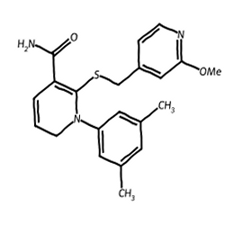 COc1cc(CSC2=C(C(N)=O)C=CCN2c2cc(C)cc(C)c2)ccn1